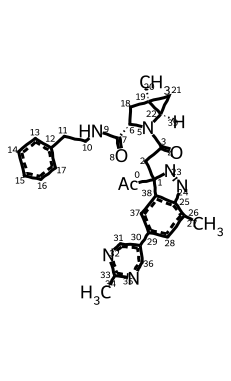 CC(=O)C1(CC(=O)N2[C@H](C(=O)NCCc3ccccc3)C[C@@]3(C)C[C@@H]23)N=Nc2c(C)cc(-c3cnc(C)nc3)cc21